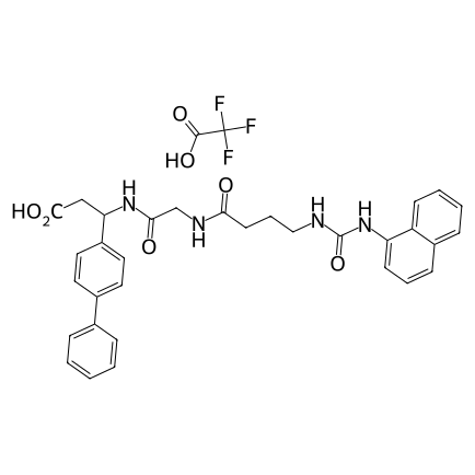 O=C(O)C(F)(F)F.O=C(O)CC(NC(=O)CNC(=O)CCCNC(=O)Nc1cccc2ccccc12)c1ccc(-c2ccccc2)cc1